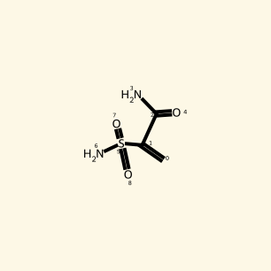 C=C(C(N)=O)S(N)(=O)=O